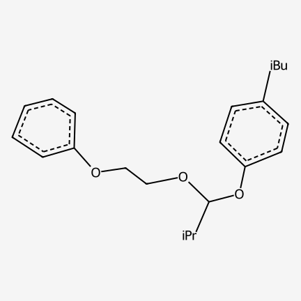 CCC(C)c1ccc(OC(OCCOc2ccccc2)C(C)C)cc1